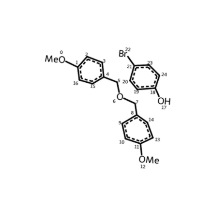 COc1ccc(COCc2ccc(OC)cc2)cc1.Oc1ccc(Br)cc1